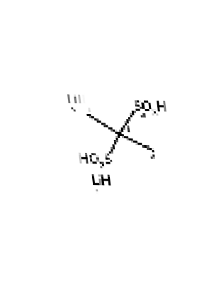 CC(C)(S(=O)(=O)O)S(=O)(=O)O.[LiH].[LiH]